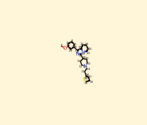 COc1cccc(-c2nc(C3CCN(CCc4cccs4)CC3)n3ccccc23)c1